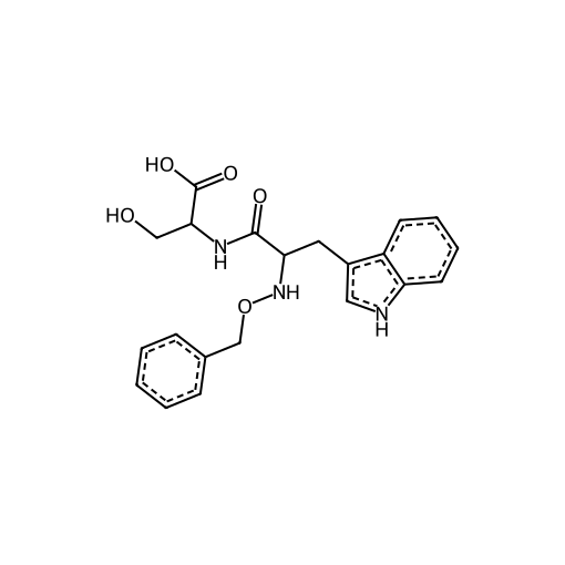 O=C(O)C(CO)NC(=O)C(Cc1c[nH]c2ccccc12)NOCc1ccccc1